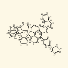 C1=CCC(C2(c3cccc(N(c4ccc(-c5ccccc5)cc4)c4ccc5c(ccc6ccccc65)c4)c3)c3ccccc3C3(c4ccccc4)c4ccccc4-c4cccc2c43)C=C1